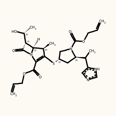 C=CCOC(=O)C1=C(S[C@H]2C[C@H](C(C)c3cnc[nH]3)N(C(=O)OCC=C)C2)[C@H](C)[C@@H]2[C@@H]([C@@H](C)O)C(=O)N12